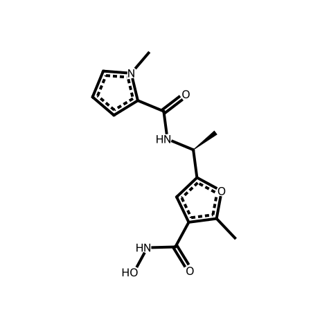 Cc1oc([C@H](C)NC(=O)c2cccn2C)cc1C(=O)NO